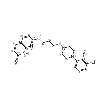 CC(=O)c1c(Cl)cccc1N1CCN(CCCCOc2ccc3ccc(=O)[nH]c3n2)CC1